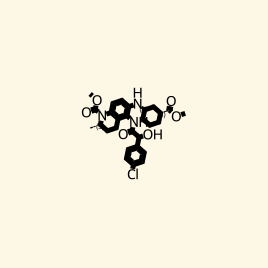 COC(=O)[C@@H]1CCC[C@@H](Nc2ccc3c(c2NC(=O)C(O)c2ccc(Cl)cc2)CC[C@H](C)N3C(=O)OC)C1